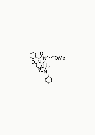 COCCCN1C[C@H]2N(C(=O)CN(C)N2C(=O)NCc2ccccc2)[C@@H](c2ccccc2)C1=O